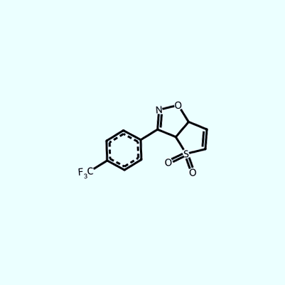 O=S1(=O)C=CC2ON=C(c3ccc(C(F)(F)F)cc3)C21